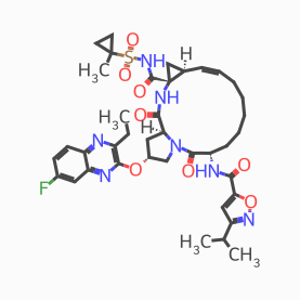 CCc1nc2ccc(F)cc2nc1O[C@@H]1C[C@H]2C(=O)N[C@]3(C(=O)NS(=O)(=O)C4(C)CC4)C[C@H]3/C=C\CCCCC[C@H](NC(=O)c3cc(C(C)C)no3)C(=O)N2C1